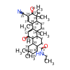 CCNC(=O)[C@@]12CCC3[C@H](C(=O)C=C4C3(C)CCC3C(C)(C)C(=O)C(C#N)=C[C@]43C)C1CC(C)(C)CC2